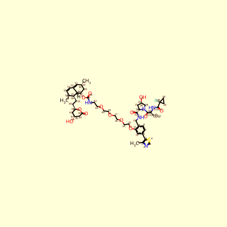 Cc1ncsc1-c1ccc(CNC(=O)[C@@H]2C[C@@H](O)CN2C(=O)[C@@H](NC(=O)C2(F)CC2)C(C)(C)C)c(OCCOCCOCCOCCNC(=O)O[C@H]2C[C@@H](C)C=C3C=C[C@H](C)[C@H](CC[C@@H]4C[C@@H](O)CC(=O)O4)[C@H]32)c1